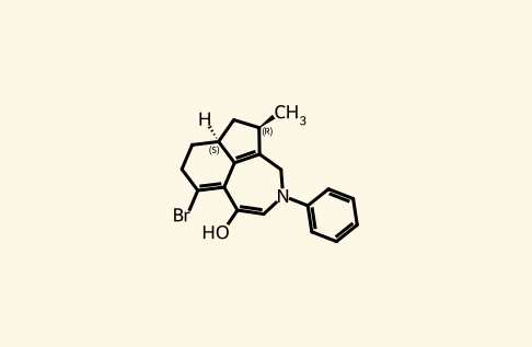 C[C@@H]1C[C@@H]2CCC(Br)=C3C(O)=CN(c4ccccc4)CC1=C32